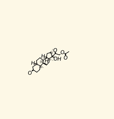 CC(=O)OCC(=O)[C@@]1(O)[C@@H](C)C[C@H]2[C@@H]3CC[C@H]4CC(=O)CC[C@]4(C)C3=CC[C@@]21C